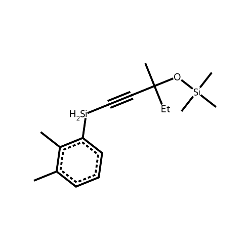 CCC(C)(C#C[SiH2]c1cccc(C)c1C)O[Si](C)(C)C